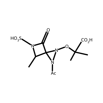 CC(=O)N1N(OC(C)(C)C(=O)O)C12C(=O)N(S(=O)(=O)O)C2C